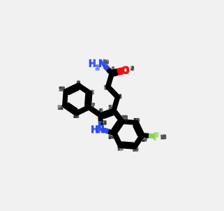 NC(=O)CCc1c(-c2ccccc2)[nH]c2ccc(F)cc12